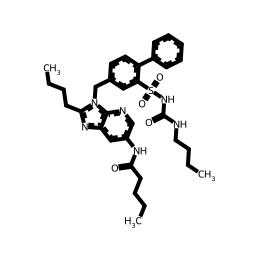 CCCCNC(=O)NS(=O)(=O)c1cc(Cn2c(CCCC)nc3cc(NC(=O)CCCC)cnc32)ccc1-c1ccccc1